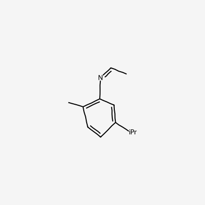 C/C=N\c1cc(C(C)C)ccc1C